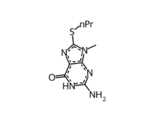 CCCSc1nc2c(=O)[nH]c(N)nc2n1C